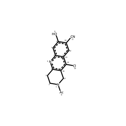 CC(=O)N1CCc2nc3cc(O)c(C#N)cc3c(Cl)c2C1